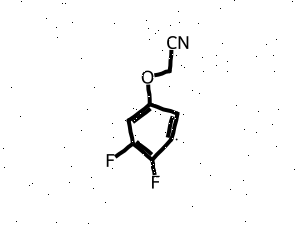 N#CCOc1c[c]c(F)c(F)c1